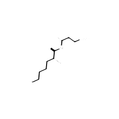 CSCC[C@@H](NC(=O)[C@@H](N)CCCCCl)C(=O)O